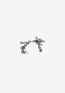 COc1cc(OCCCCOCC(=O)N[C@H](C(=O)N2C[C@H](O)C[C@H]2C(=O)NCc2ccc(-c3scnc3C)cc2)C(C)(C)C)ccc1-c1ccc(N2C(=S)N(c3ccc(C#N)c(C(F)(F)F)c3)C(=O)C2(C)C)cc1